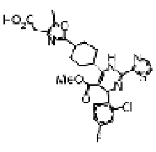 COC(=O)C1=C([C@H]2CC[C@H](c3nc(CC(=O)O)c(C)o3)CC2)NC(c2nccs2)=NC1c1ccc(F)cc1Cl